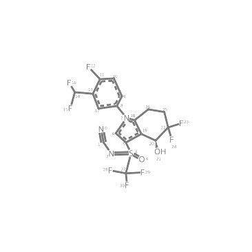 N#CN=S(=O)(c1cn(-c2ccc(F)c(C(F)F)c2)c2c1[C@H](O)C(F)(F)CC2)C(F)(F)F